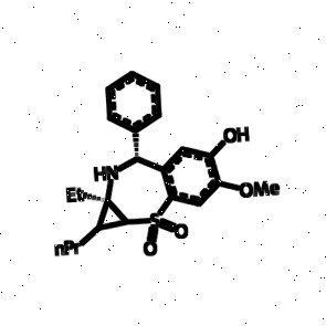 CCCC1C2[C@]1(CC)N[C@H](c1ccccc1)c1cc(O)c(OC)cc1S2(=O)=O